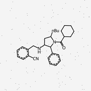 CCCCC1CC(NCc2ccccc2C#N)C(c2ccccc2)N1C(=O)C1CCCCC1